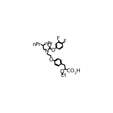 CCCC(CCC)CN(CCOc1ccc(CC(OCC)C(=O)O)cc1)C(=O)Oc1ccc(F)c(F)c1